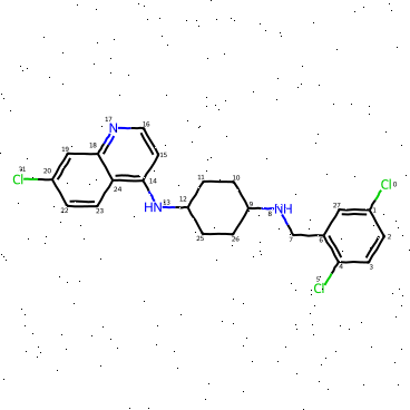 Clc1ccc(Cl)c(CNC2CCC(Nc3ccnc4cc(Cl)ccc34)CC2)c1